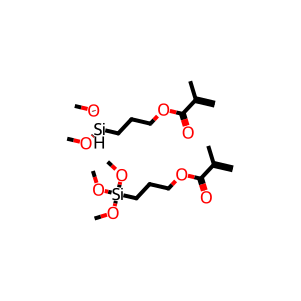 C=C(C)C(=O)OCCC[SiH](OC)OC.C=C(C)C(=O)OCCC[Si](OC)(OC)OC